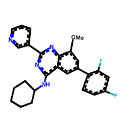 COc1cc(-c2ccc(F)cc2F)cc2c(NC3CCCCC3)nc(-c3cccnc3)nc12